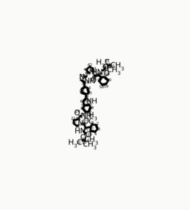 CC1C=CC=CC1[C@@H](NC(=O)OC(C)(C)C)C(=O)N1CCC[C@H]1C(=O)Nc1ccc2[nH]c(-c3ccc(-c4cnc([C@@H]5CCCN5C(=O)[C@H](NC(=O)OC(C)(C)C)c5ccccc5)[nH]4)cc3)cc2c1